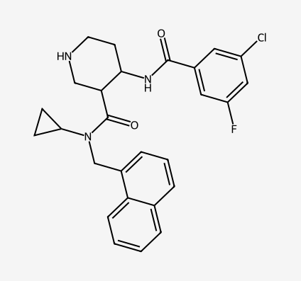 O=C(NC1CCNCC1C(=O)N(Cc1cccc2ccccc12)C1CC1)c1cc(F)cc(Cl)c1